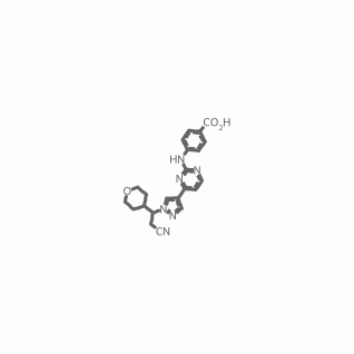 N#CCC(C1CCOCC1)n1cc(-c2ccnc(Nc3ccc(C(=O)O)cc3)n2)cn1